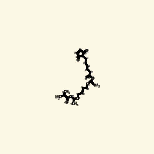 C=C(C)C(=O)OC(C)OCCCCOC(C)OC(=O)CCCCCN1C(=O)C=CC1=O